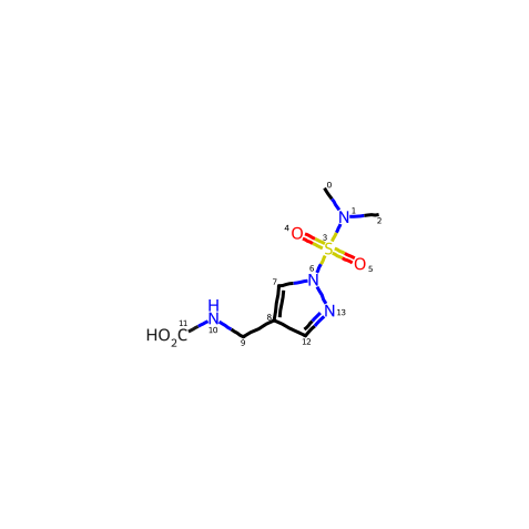 CN(C)S(=O)(=O)n1cc(CNC(=O)O)cn1